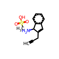 C#CCC1=Cc2ccccc2C1N.CS(=O)(=O)O